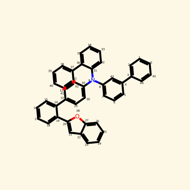 c1ccc(-c2cccc(N(c3ccc(-c4ccccc4-c4cc5ccccc5o4)cc3)c3ccccc3-c3ccccc3)c2)cc1